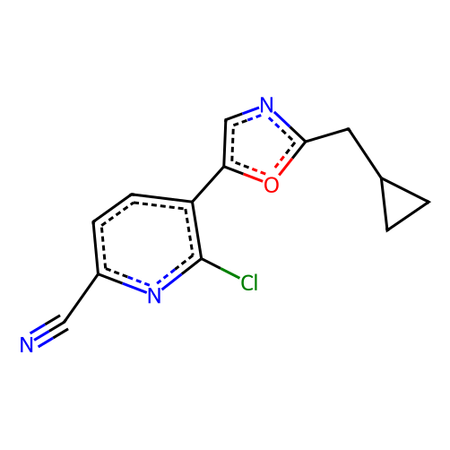 N#Cc1ccc(-c2cnc(CC3CC3)o2)c(Cl)n1